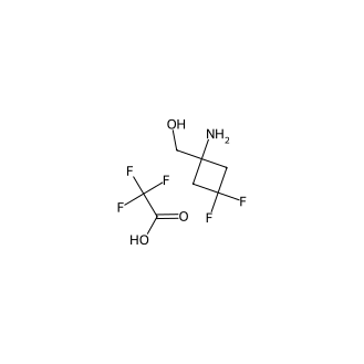 NC1(CO)CC(F)(F)C1.O=C(O)C(F)(F)F